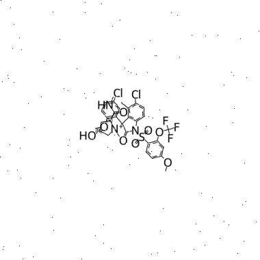 CNC(=O)[C@@H]1C[C@@H](O)C[N+]1(C)C1(c2cc(Cl)ccc2OC)C(=O)N(S(=O)(=O)c2ccc(OC)cc2OC(F)(F)F)c2ccc(Cl)c(C)c21